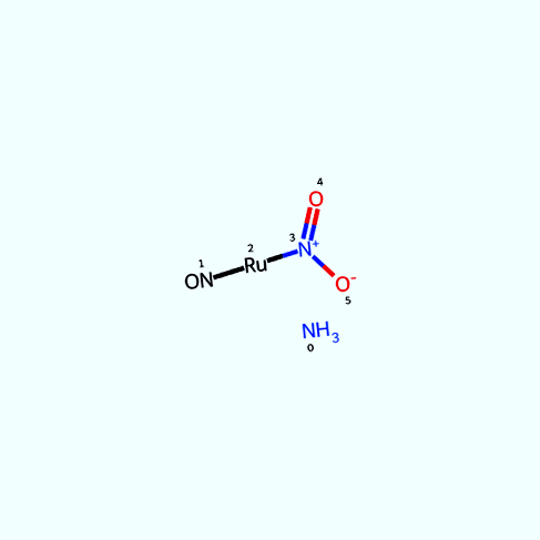 N.O=[N][Ru][N+](=O)[O-]